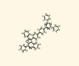 c1ccc(-c2nc(-c3ccccc3)nc(-c3ccc(-c4ccc(-c5c(-c6ccccc6)oc6c(-c7ccccc7)nc7ccccc7c56)cc4)cc3)n2)cc1